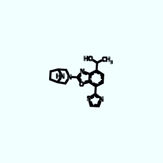 CC(O)c1ccc(-c2nccs2)c2oc(N3CC4CCC(C3)N4)nc12